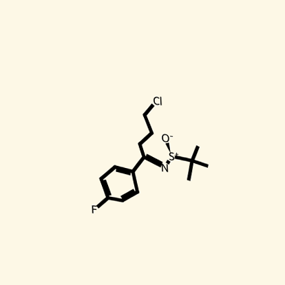 CC(C)(C)[S@+]([O-])/N=C(\CCCCl)c1ccc(F)cc1